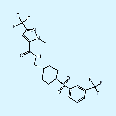 Cn1nc(C(F)(F)F)cc1C(=O)NC[C@H]1CC[C@H](S(=O)(=O)c2cccc(C(F)(F)F)c2)CC1